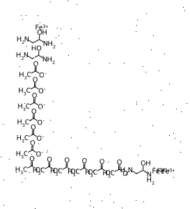 CC(=O)[O-].CC(=O)[O-].CC(=O)[O-].CC(=O)[O-].CC(=O)[O-].CC(=O)[O-].CC(=O)[O-].CC(=O)[O-].CC(=O)[O-].CC(=O)[O-].CC(=O)[O-].CC(=O)[O-].NCC(N)O.NCC(N)O.NCC(N)O.[Fe+3].[Fe+3].[Fe+3].[Fe+3]